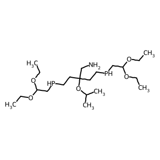 CCOC(CPCCC(CN)(CCPCC(OCC)OCC)OC(C)C)OCC